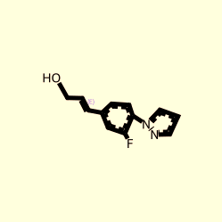 OC/C=C/c1ccc(-n2cccn2)c(F)c1